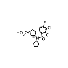 O=C(O)N1CC[C@H](N(C(=O)c2ccc(F)c(Cl)c2Cl)C2CCCC2)C1